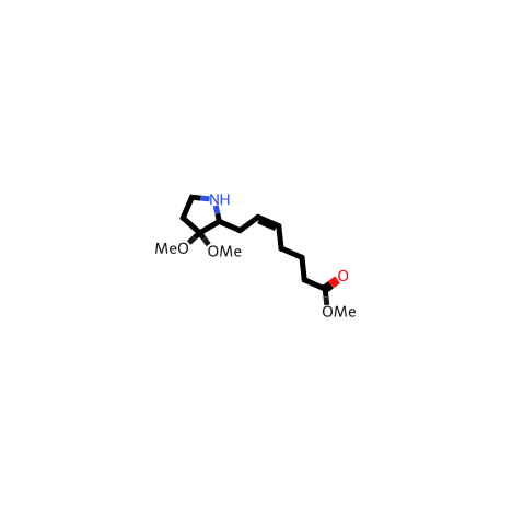 COC(=O)CCC/C=C\CC1NCCC1(OC)OC